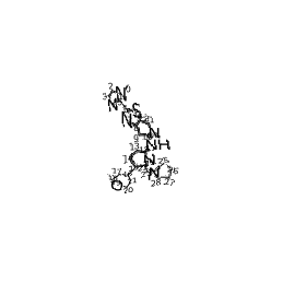 Cn1ccnc1-c1nc2cc(Nc3ccc(C4CCOCC4)c(CN4CCCC4)n3)ncc2s1